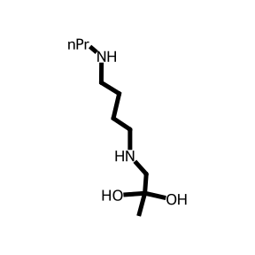 CCCNCCCCNCC(C)(O)O